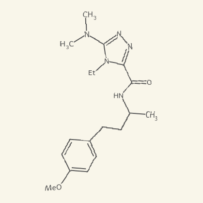 CCn1c(C(=O)NC(C)CCc2ccc(OC)cc2)nnc1N(C)C